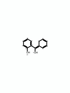 OC(=C1C=CC=CC1)c1ccccc1O